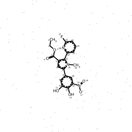 CCOC(=O)c1cc(-c2cc(O)c(O)c([N+](=O)[O-])c2)n(C)c1-c1cccc(F)n1